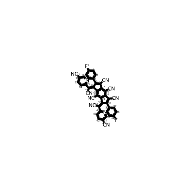 N#CC1=C(c2ccc(F)cc2)/C(=C(/C#N)c2ccc(C#N)cn2)c2c(C#N)c3c(c(C#N)c21)C(C#N)=C(c1ccc(F)cc1)/C3=C(/C#N)c1ccc(C#N)cn1